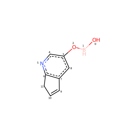 OBOc1cnc2c(c1)C=CC2